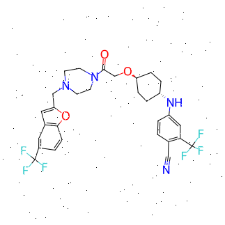 N#Cc1ccc(N[C@H]2CC[C@H](OCC(=O)N3CCN(Cc4cc5cc(C(F)(F)F)ccc5o4)CC3)CC2)cc1C(F)(F)F